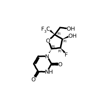 O=c1ccn([C@@H]2O[C@@](CO)(C(F)(F)F)[C@@H](O)[C@H]2F)c(=O)[nH]1